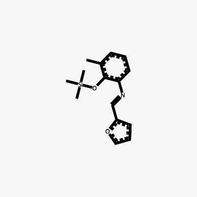 Cc1cccc(N=Cc2ccco2)c1O[Si](C)(C)C